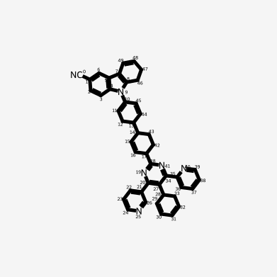 N#Cc1ccc2c(c1)c1c(n2C2=CCC(C3C=CC(c4nc(-c5cccnc5)c(C5C=CC=CC5)c(-c5ccccn5)n4)CC3)C=C2)CCC=C1